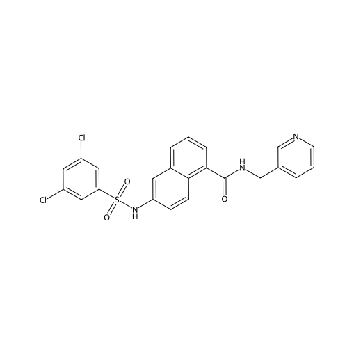 O=C(NCc1cccnc1)c1cccc2cc(NS(=O)(=O)c3cc(Cl)cc(Cl)c3)ccc12